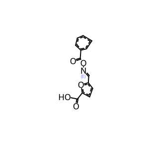 O=C(O/N=C/c1ccc(C(=O)O)o1)c1ccccc1